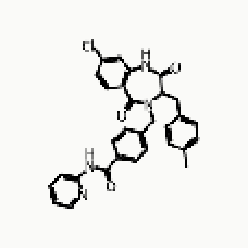 Cc1ccc(CC2C(=O)Nc3cc(Cl)ccc3C(=O)N2Cc2ccc(C(=O)Nc3ccccn3)cc2)cc1